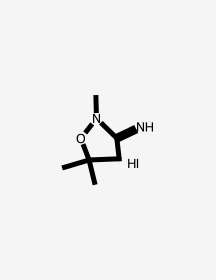 CN1OC(C)(C)CC1=N.I